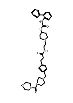 O=C(CCc1ccc(CN2CCN(C(=O)N3CCOCC3)CC2)cc1)NCCN1CCC(OC(=O)Nc2ccccc2-c2ccccc2)CC1